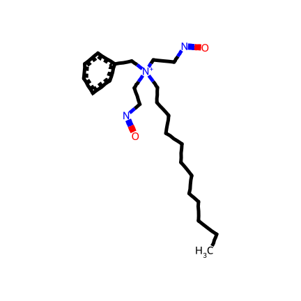 CCCCCCCCCCCC[N+](CCN=O)(CCN=O)Cc1ccccc1